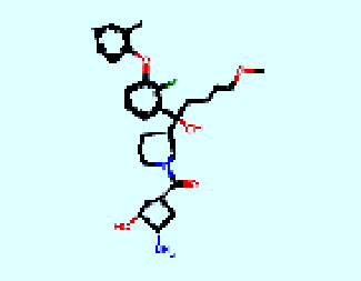 COCCCC[C@@](O)(c1cccc(Oc2ccccc2C)c1F)[C@@H]1CCCN(C(=O)[C@H]2C[C@@H](N)[C@@H](O)C2)C1